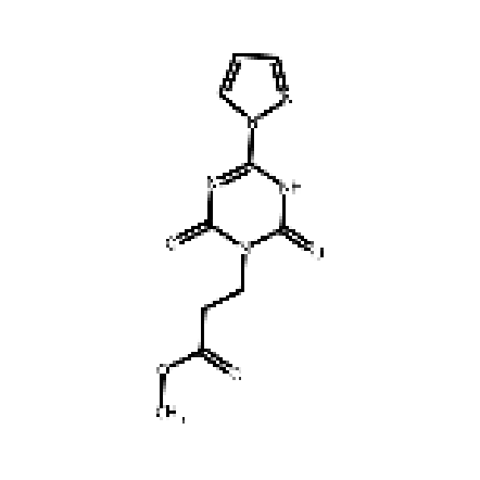 COC(=O)CCn1c(=O)nc(-n2cccn2)[nH]c1=O